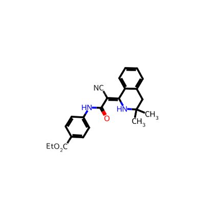 CCOC(=O)c1ccc(NC(=O)/C(C#N)=C2\NC(C)(C)Cc3ccccc32)cc1